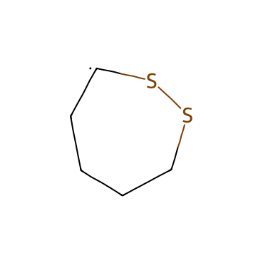 [CH]1CCCCSS1